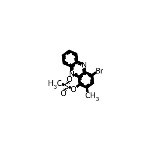 Cc1cc(Br)c2nc3ccccc3nc2c1OS(C)(=O)=O